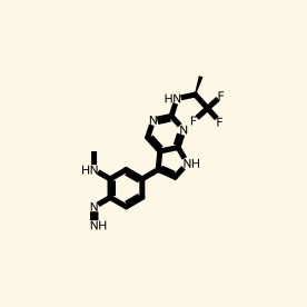 CNc1cc(-c2c[nH]c3nc(N[C@@H](C)C(F)(F)F)ncc23)ccc1N=N